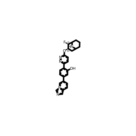 Oc1cc(-c2ccc3cncn3c2)ccc1-c1ccc(O[C@@H]2CC3CCCC(N3)[C@@H]2F)nn1